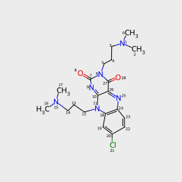 CN(C)CCCn1c(=O)nc2n(CCCN(C)C)c3cc(Cl)ccc3nc-2c1=O